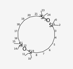 C[Si]1(C)CCCCCC[Si](C)(C)O[Si](C)(C)CCCCCC[Si](C)(C)O1